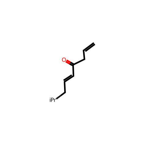 C=CCC(=O)/C=C/CC(C)C